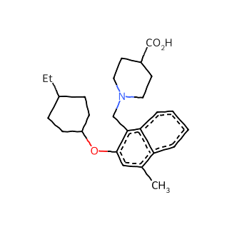 CCC1CCC(Oc2cc(C)c3ccccc3c2CN2CCC(C(=O)O)CC2)CC1